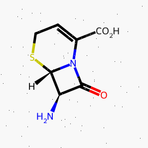 N[C@@H]1C(=O)N2C(C(=O)O)=CCS[C@@H]12